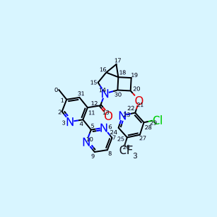 Cc1cnc(-c2ncccn2)c(C(=O)N2CC3CC34CC(Oc3ncc(C(F)(F)F)cc3Cl)C24)c1